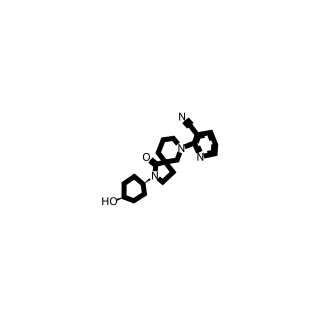 N#Cc1cccnc1N1CCCC2(CCN([C@H]3CC[C@@H](O)CC3)C2=O)C1